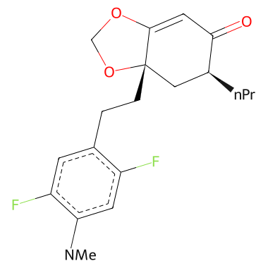 CCC[C@H]1C[C@]2(CCc3cc(F)c(NC)cc3F)OCOC2=CC1=O